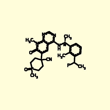 Cc1c(C(C)F)cccc1[C@@H](C)Nc1ncnc2c1cc(C1(C#N)CCP(C)(=O)CC1)c(=O)n2C